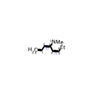 C=C/C=C(\C=C/CC)NC